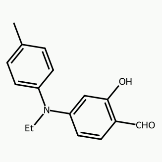 CCN(c1ccc(C)cc1)c1ccc(C=O)c(O)c1